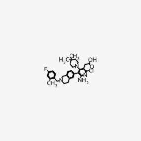 Cc1cc(F)ccc1CN1CCc2cc(-c3c(N)nc(Cl)c(CC(=O)O)c3N3CCC(C)(C)CC3)ccc2C1